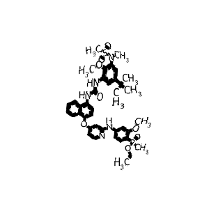 CCOP(C)(=O)c1ccc(Nc2cc(Oc3ccc(NC(=O)Nc4cc(C(C)(C)C)cc(N(C)S(C)(=O)=O)c4OC)c4ccccc34)ccn2)cc1OC